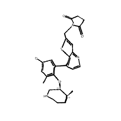 Cc1cc(Cl)cc(-c2ccnc3cc(CN4C(=O)CCC4=O)sc23)c1O[C@@H]1CNCC[C@@H]1C